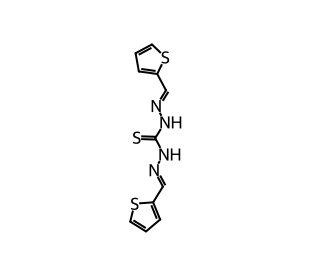 S=C(NN=Cc1cccs1)NN=Cc1cccs1